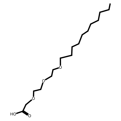 CCCCCCCCCCCOCCOCCOCC(=O)O